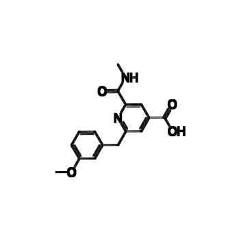 CNC(=O)c1cc(C(=O)O)cc(Cc2cccc(OC)c2)n1